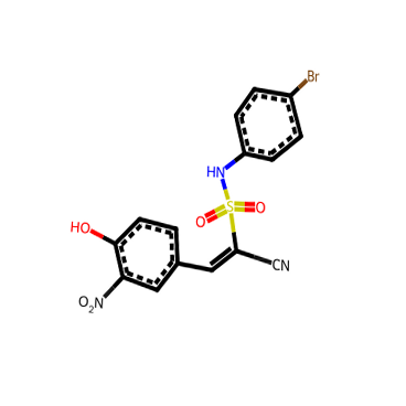 N#C/C(=C/c1ccc(O)c([N+](=O)[O-])c1)S(=O)(=O)Nc1ccc(Br)cc1